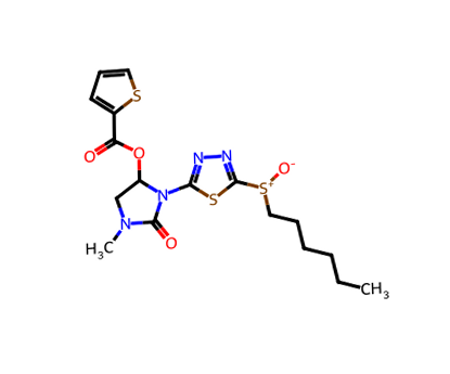 CCCCCC[S+]([O-])c1nnc(N2C(=O)N(C)CC2OC(=O)c2cccs2)s1